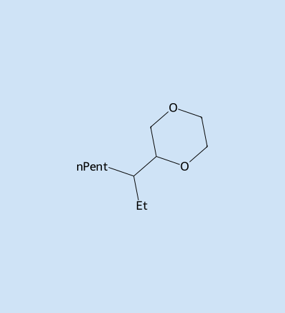 CCCCCC(CC)C1COCCO1